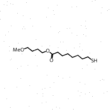 COCCCCOC(=O)CCCCCCCS